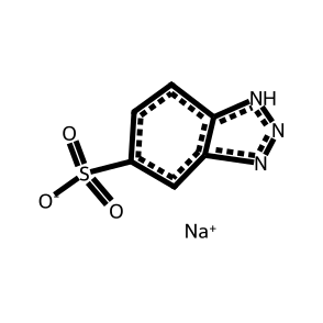 O=S(=O)([O-])c1ccc2[nH]nnc2c1.[Na+]